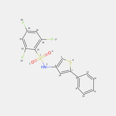 O=S(=O)(Nc1csc(-c2ccccc2)c1)c1c(F)cc(F)cc1F